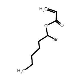 C=CC(=O)OC(Br)CCCCC